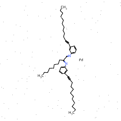 CCCCCCCCCCC#Cc1cccc(N=CC(CCCCCCCC)=Nc2cccc(C#CCCCCCCCCCC)c2)c1.[Pd]